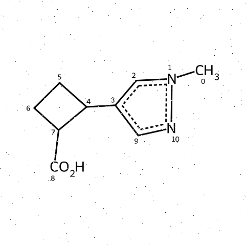 Cn1cc(C2CCC2C(=O)O)cn1